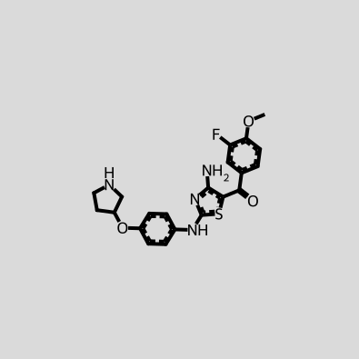 COc1ccc(C(=O)c2sc(Nc3ccc(OC4CCNC4)cc3)nc2N)cc1F